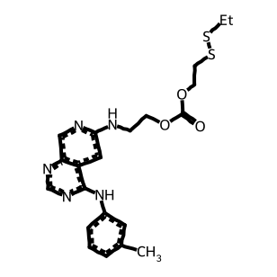 CCSSCCOC(=O)OCCNc1cc2c(Nc3cccc(C)c3)ncnc2cn1